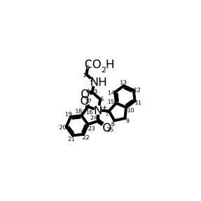 O=C(O)CNC(=O)C[N+]1(C2CCc3ccccc32)C(=O)c2ccccc2C1=O